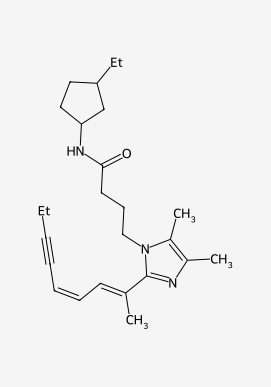 CCC#C/C=C\C=C(/C)c1nc(C)c(C)n1CCCC(=O)NC1CCC(CC)C1